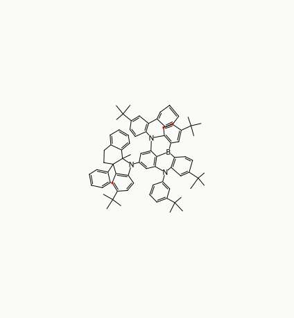 CC(C)(C)c1cccc(N2c3cc(C(C)(C)C)ccc3B3c4cc(C(C)(C)C)ccc4N(c4ccc(C(C)(C)C)cc4-c4ccccc4)c4cc(N5c6ccc(C(C)(C)C)cc6C6(c7ccccc7)CCc7ccccc7C56C)cc2c43)c1